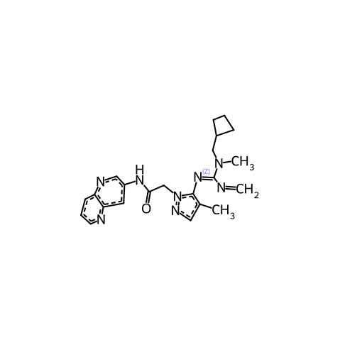 C=N/C(=N\c1c(C)cnn1CC(=O)Nc1cnc2cccnc2c1)N(C)CC1CCC1